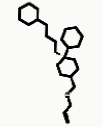 C=CCOC[C@H]1CC[C@@](CCCCC2CCCCC2)(C2CCCCC2)CC1